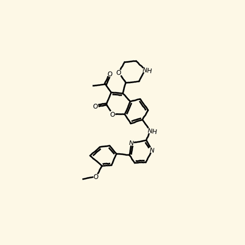 COc1cccc(-c2ccnc(Nc3ccc4c(C5CNCCO5)c(C(C)=O)c(=O)oc4c3)n2)c1